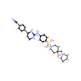 N#Cc1ccc(-c2ccnc(Nc3ccc(S(=O)(=O)N4CCC(O)(CN5CCCC5)CC4)cc3)n2)cc1